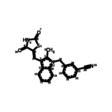 Cc1c(C=C2SC(=O)NC2=O)c2ccccc2n1Cc1cccc(C#N)c1